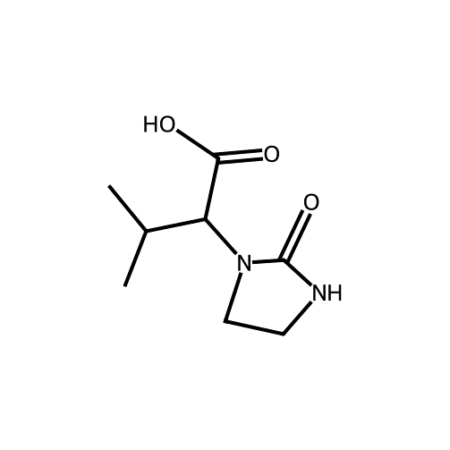 CC(C)C(C(=O)O)N1CCNC1=O